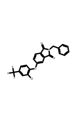 O=C1c2ccc(Oc3ccc(C(F)(F)F)cc3Cl)cc2C(=O)N1Cc1ccccc1